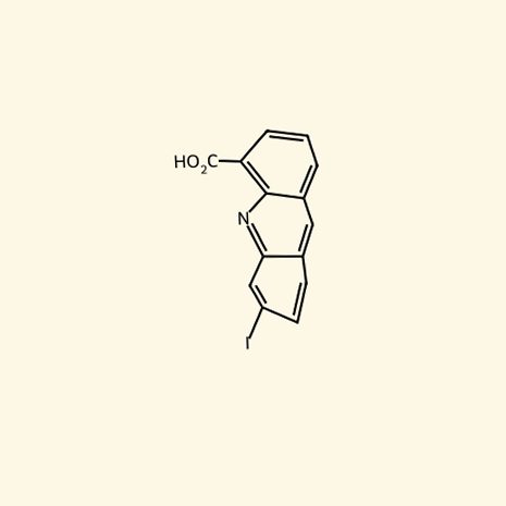 O=C(O)c1cccc2cc3ccc(I)cc3nc12